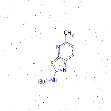 CCC(C)Nc1nc2ccc(C)nc2s1